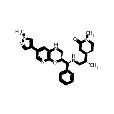 C[C@H](CN[C@H](c1ccccc1)[C@@H]1CNc2cc(-c3cnn(C)c3)cnc2O1)[C@@H]1CCN(C)C(=O)C1